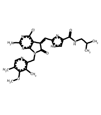 COc1c(C)cnc(CN2C(=O)C(=Cc3nc(C(=O)NCC(C)C)c[nH]3)c3c(Cl)nc(N)nc32)c1C